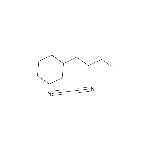 CCCCC1CCCCC1.N#CC#N